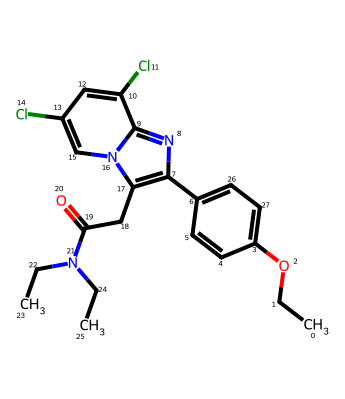 CCOc1ccc(-c2nc3c(Cl)cc(Cl)cn3c2CC(=O)N(CC)CC)cc1